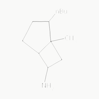 CCCCC1CCC2C(N)CC12C